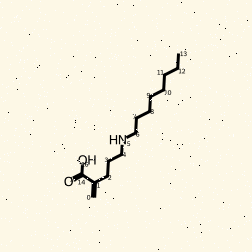 C=C(CCCNCCCCCCCC)C(=O)O